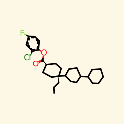 CCC[C@]1(C2CCC(C3CCCCC3)CC2)CC[C@H](C(=O)Oc2ccc(F)cc2Cl)CC1